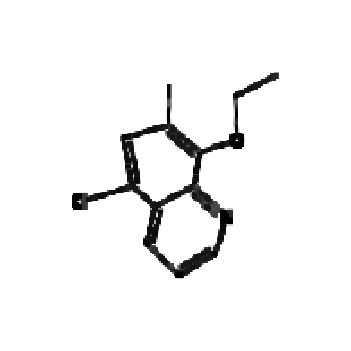 CCOc1c(I)cc(Cl)c2cccnc12